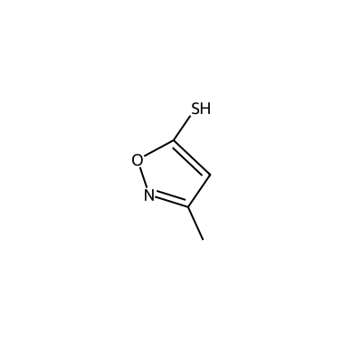 Cc1cc(S)on1